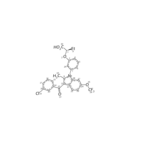 CC[C@@H](Oc1cccc(-n2c(C)c(C(=O)c3cccc(Cl)c3)c3ccc(OC(F)(F)F)cc32)c1)C(=O)O